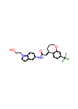 O=C(C=C1CCCOc2cc(C(F)(F)F)ccc21)Nc1ccc2c(ccn2CCO)c1